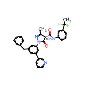 CC1=NN(c2cc(Cc3ccccc3)cc(-c3cccnc3)c2)C(=O)[C@H]1C(=O)Nc1cccc(C(C)(F)F)c1